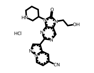 Cl.N#Cc1ccn2ncc(-c3ncc4c(n3)n(C3CCCNC3)c(=O)n4CCO)c2c1